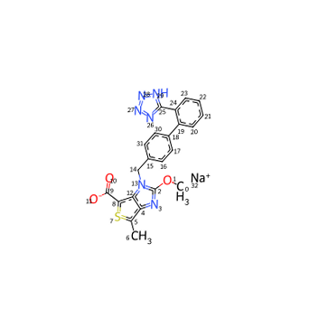 COc1nc2c(C)sc(C(=O)[O-])c2n1Cc1ccc(-c2ccccc2-c2nnn[nH]2)cc1.[Na+]